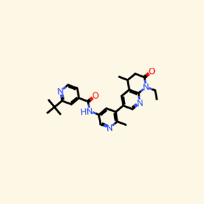 CCN1C(=O)CC(C)c2cc(-c3cc(NC(=O)c4ccnc(C(C)(C)C)c4)cnc3C)cnc21